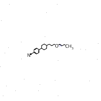 CC/C=C/OCCCC1CCC(c2ccc(C#N)cc2)CC1